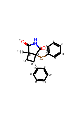 O=C1NC(=O)[C@@]2(Sc3ccccc3)[C@@H]1C[C@H]2c1ccccc1